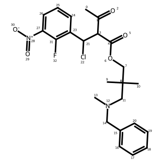 CC(=O)C(C(=O)OCC(C)(C)CN(C)Cc1ccccc1)C(Cl)c1cccc([N+](=O)[O-])c1F